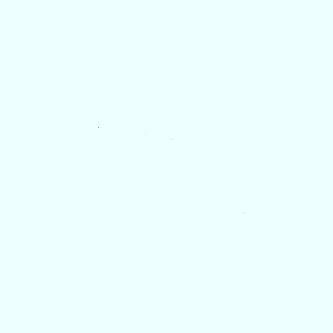 COc1ccc(C(F)(F)F)cc1NC(=O)NC1CCC(OCc2ccncc2)CC1